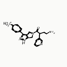 NCCC(C(=O)N1Cc2[nH]nc(-c3ccc(C(=O)O)cc3)c2C1)c1cccnc1